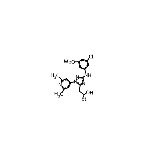 CC[C@H](O)Cc1nc(Nc2cc(Cl)cc(OC)c2)nn1-c1cc(C)nc(C)c1